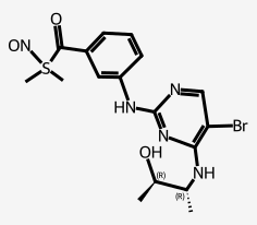 C[C@@H](O)[C@@H](C)Nc1nc(Nc2cccc(C(=O)S(C)(C)N=O)c2)ncc1Br